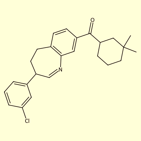 CC1(C)CCCC(C(=O)c2ccc3c(c2)N=CC(c2cccc(Cl)c2)CC3)C1